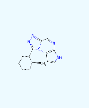 C[C@H]1CCCCC1c1nnc2cnc3[nH]ccc3n12